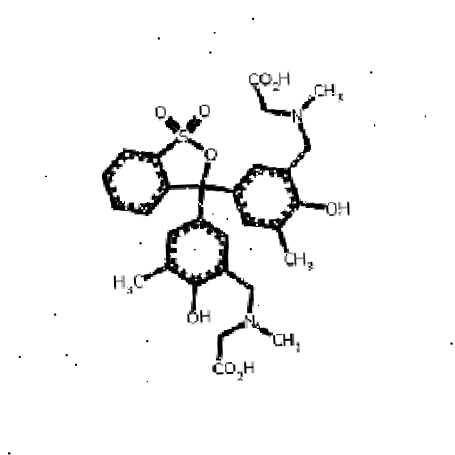 Cc1cc(C2(c3cc(C)c(O)c(CN(C)CC(=O)O)c3)OS(=O)(=O)c3ccccc32)cc(CN(C)CC(=O)O)c1O